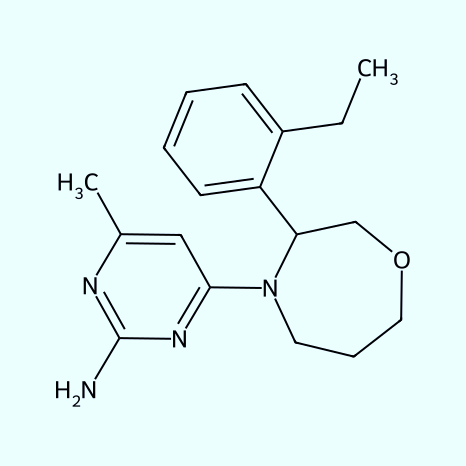 CCc1ccccc1C1COCCCN1c1cc(C)nc(N)n1